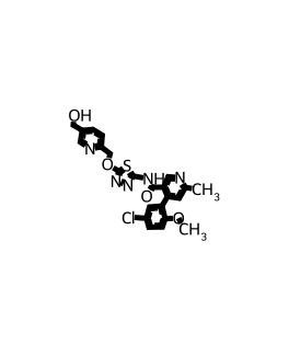 COc1ccc(Cl)cc1-c1cc(C)ncc1C(=O)Nc1nnc(OCc2ccc(CO)cn2)s1